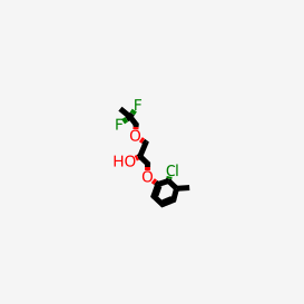 CC1C=CC=C(OCC(O)COCC(C)(F)F)C1Cl